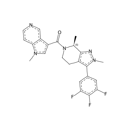 C[C@H]1c2nn(C)c(-c3cc(F)c(F)c(F)c3)c2CCN1C(=O)c1cn(C)c2ccncc12